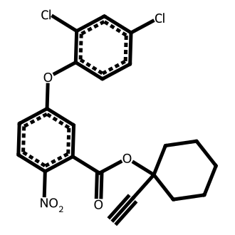 C#CC1(OC(=O)c2cc(Oc3ccc(Cl)cc3Cl)ccc2[N+](=O)[O-])CCCCC1